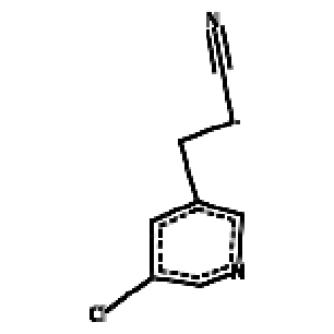 N#C[CH]Cc1cncc(Cl)c1